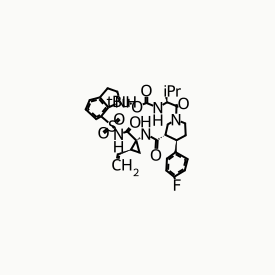 C=C[C@@H]1C[C@]1(NC(=O)[C@@H]1CN(C(=O)[C@@H](NC(=O)OC(C)(C)C)C(C)C)CC[C@H]1c1ccc(F)cc1)C(=O)NS(=O)(=O)c1cccc2c1NCC2